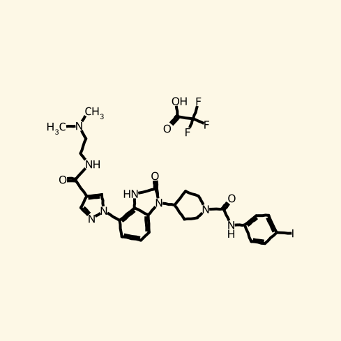 CN(C)CCNC(=O)c1cnn(-c2cccc3c2[nH]c(=O)n3C2CCN(C(=O)Nc3ccc(I)cc3)CC2)c1.O=C(O)C(F)(F)F